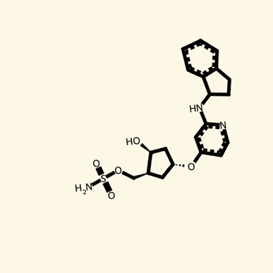 NS(=O)(=O)OC[C@@H]1C[C@@H](Oc2ccnc(NC3CCc4ccccc43)c2)C[C@@H]1O